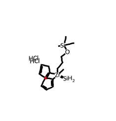 C[Si](C)(C)OCC[CH2][Zr]([CH3])(=[SiH2])([C]1=CC=CC1)[C]1=CC=CC1.Cl.Cl